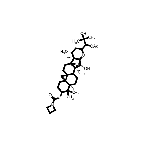 CC(=O)OC(C1C[C@@H](C)[C@H]2C(O1)[C@H](O)[C@@]1(C)C3CC[C@H]4C(C)(C)C(OC(=O)N5CCC5)CCC45CC35CCC21C)C(C)(C)O